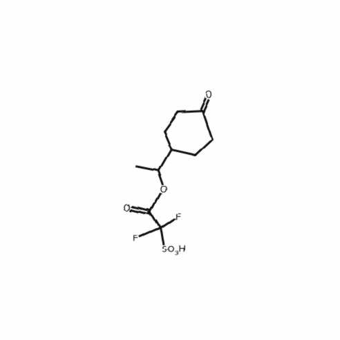 CC(OC(=O)C(F)(F)S(=O)(=O)O)C1CCC(=O)CC1